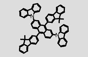 CC1(C)c2ccccc2-c2ccc(-c3c4ccc(-n5c6ccccc6c6ccccc65)cc4c(-c4ccc5c(c4)C(C)(C)c4ccccc4-5)c4cc(-n5c6ccccc6c6ccccc65)ccc34)cc21